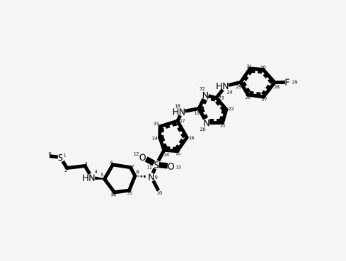 CSCCN[C@H]1CC[C@H](N(C)S(=O)(=O)c2ccc(Nc3nccc(Nc4ccc(F)cc4)n3)cc2)CC1